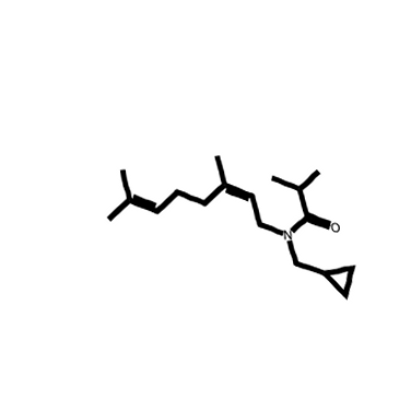 CC(C)=CCC/C(C)=C\CN(CC1CC1)C(=O)C(C)C